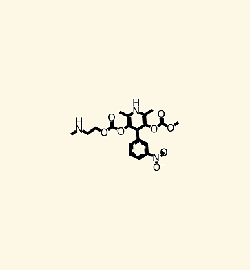 CNCCOC(=O)OC1=C(C)NC(C)=C(OC(=O)OC)C1c1cccc([N+](=O)[O-])c1